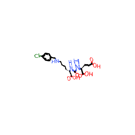 O=C(O)CC[C@H](NC(=O)N[C@@H](CCCCNCc1ccc(Cl)cc1)C(=O)O)C(=O)O